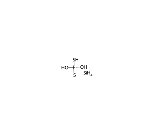 OP(O)(=S)S.[SiH4]